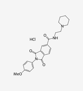 COc1ccc(N2C(=O)c3ccc(C(=O)NCCN4CCCCC4)cc3C2=O)cc1.Cl